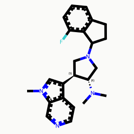 CN(C)[C@H]1CN(C2CCc3cccc(F)c32)C[C@@H]1c1cn(C)c2cnccc12